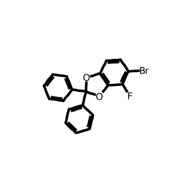 Fc1c(Br)ccc2c1OC(c1ccccc1)(c1ccccc1)O2